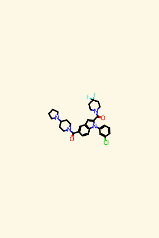 O=C(c1ccc2c(c1)cc(C(=O)N1CCC(F)(F)CC1)n2-c1cccc(Cl)c1)N1CCC(N2CCCC2)CC1